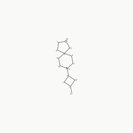 CC1CC(N2CCC3(CCOC3)CC2)C1